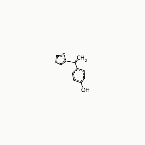 C=C(c1ccc(O)cc1)c1cccs1